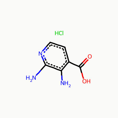 Cl.Nc1nccc(C(=O)O)c1N